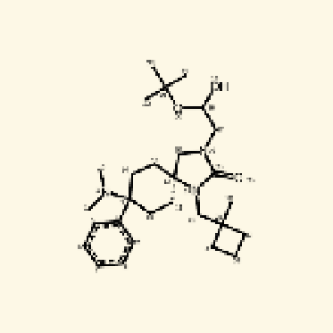 CN(C)[C@]1(c2ccccc2)CC[C@]2(CC1)CN(CC(O)OC(C)(C)C)C(=O)N2CC1(C)CCC1